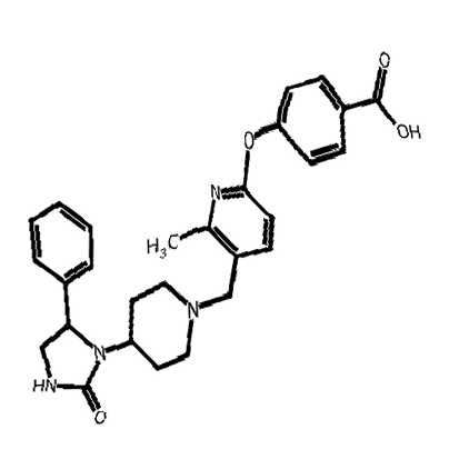 Cc1nc(Oc2ccc(C(=O)O)cc2)ccc1CN1CCC(N2C(=O)NCC2c2ccccc2)CC1